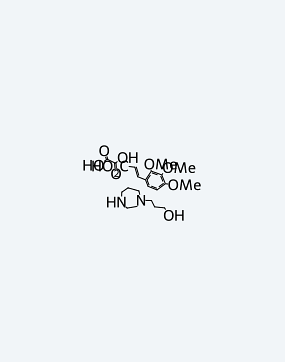 COc1ccc(C=CC(=O)O)c(OC)c1OC.O=C(O)C(=O)O.OCCCN1CCCNCC1